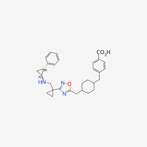 O=C(O)c1ccc(CC2CCC(Cc3nc(C4(CN[C@H]5C[C@@H]5c5ccccc5)CC4)no3)CC2)cc1